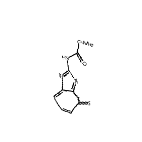 COC(=O)NC1=NC2=CC=CC(=S)C2=N1